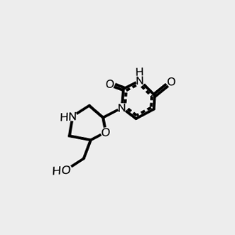 O=c1ccn(C2CNCC(CO)O2)c(=O)[nH]1